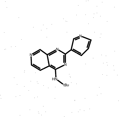 CC(C)(C)Nc1nc(-c2cccnc2)nc2cnccc12